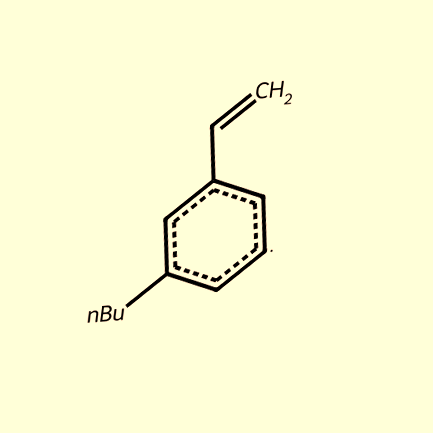 C=Cc1c[c]cc(CCCC)c1